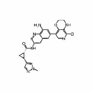 Cn1cc([C@H]2C[C@@H]2C(=O)Nc2cc3cc(-c4cnc(Cl)c5c4OCCN5)cc(N)c3nn2)cn1